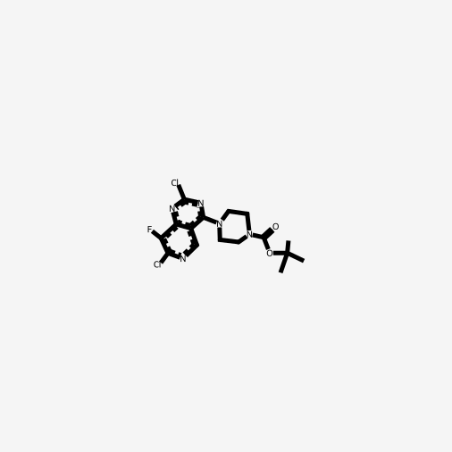 CC(C)(C)OC(=O)N1CCN(c2nc(Cl)nc3c(F)c(Cl)ncc23)CC1